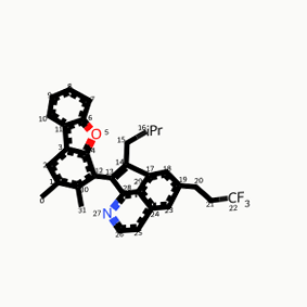 Cc1cc2c(oc3ccccc32)c(C2=C(CC(C)C)c3cc(CCC(F)(F)F)cc4ccnc2c34)c1C